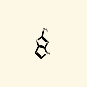 Nc1nc2[nH]ccc2s1